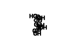 O=C(O)CC1CCC(NC(=O)Cc2cccc(C(=O)O)c2C(=O)O)B(O)O1